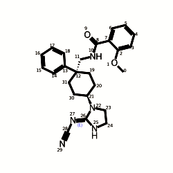 COc1ccccc1C(=O)NC[C@]1(c2ccccc2)CC[C@@H](N2CCN/C2=N\C#N)CC1